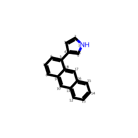 [c]1[nH]ccc1-c1cccc2cc3ccccc3cc12